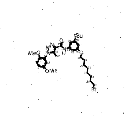 COc1ccc(OC)c(-n2nnc(C(=O)Nc3cc(OCCCCCCCCBr)cc(C(C)(C)C)c3)c2C)c1